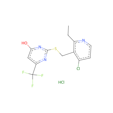 CCc1nccc(Cl)c1CSc1nc(O)cc(C(F)(F)F)n1.Cl